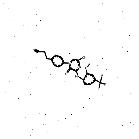 COc1cc(C(F)(F)F)ccc1Nc1nc(Cl)cn(-c2ccc(CCC#N)cc2)c1=O